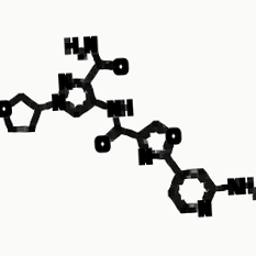 NC(=O)c1nn(C2CCOC2)cc1NC(=O)c1coc(-c2ccnc(N)c2)n1